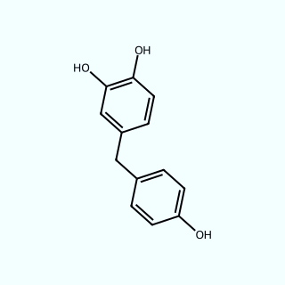 Oc1ccc(Cc2ccc(O)c(O)c2)cc1